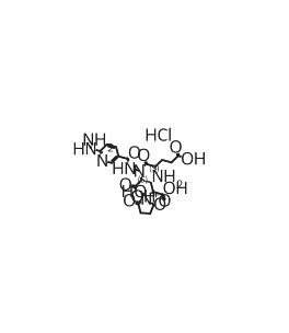 Cl.NNc1ccc(C(=O)NN(C(=O)[C@@H](N)CCC(=O)O)[C@@H](CC(C(=O)O)[N+]2(O)C(=O)CCC2=O)C(=O)O)cn1